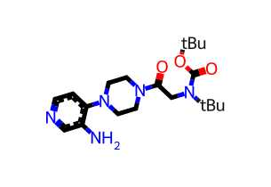 CC(C)(C)OC(=O)N(CC(=O)N1CCN(c2ccncc2N)CC1)C(C)(C)C